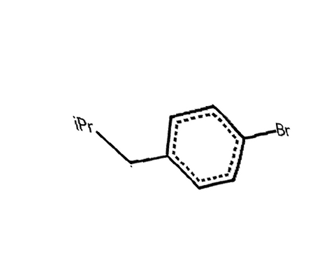 CC(C)[CH]c1ccc(Br)cc1